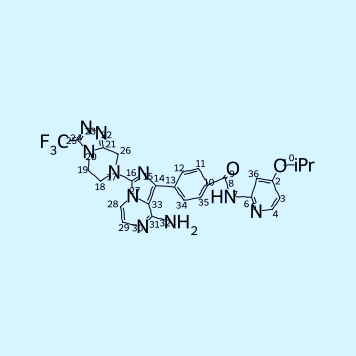 CC(C)Oc1ccnc(NC(=O)c2ccc(-c3nc(N4CCn5c(nnc5C(F)(F)F)C4)n4ccnc(N)c34)cc2)c1